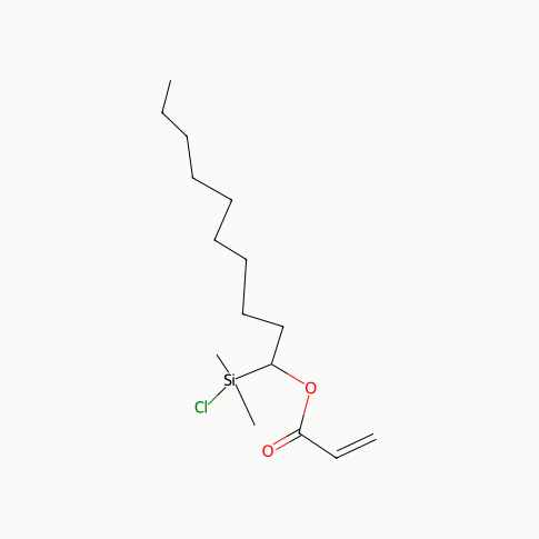 C=CC(=O)OC(CCCCCCCCC)[Si](C)(C)Cl